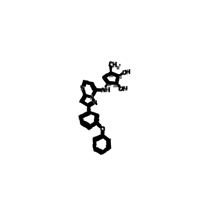 [CH2][C@@H]1C[C@@H](Nc2ccnc3cc(-c4cccc(Oc5ccccc5)c4)nn23)[C@H](O)[C@@H]1O